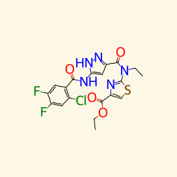 CCOC(=O)c1csc(N(CC)C(=O)c2cc(NC(=O)c3cc(F)c(F)cc3Cl)[nH]n2)n1